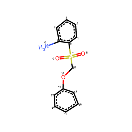 Nc1ccccc1S(=O)(=O)COc1ccccc1